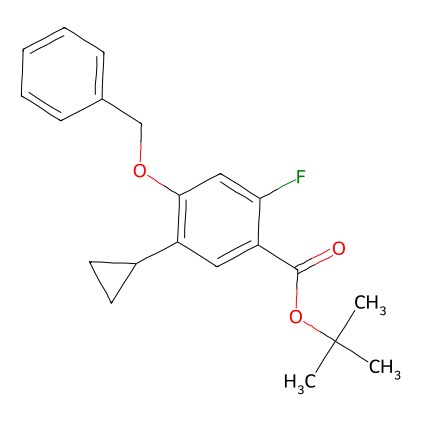 CC(C)(C)OC(=O)c1cc(C2CC2)c(OCc2ccccc2)cc1F